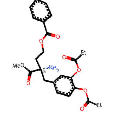 CCC(=O)Oc1ccc(C[C@](N)(CCOC(=O)c2ccccc2)C(=O)OC)cc1OC(=O)CC